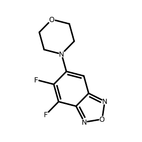 Fc1c(N2CCOCC2)cc2nonc2c1F